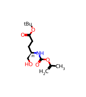 C=C(C)OC(=O)N[C@@H](CO)CCC(=O)OC(C)(C)C